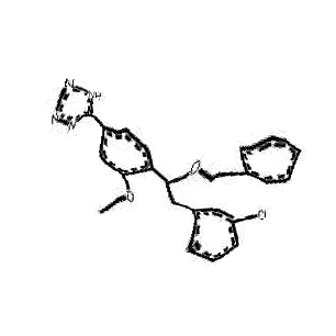 COc1cc(-c2nnn[nH]2)ccc1C(Cc1cccc(Cl)c1)OCc1ccccc1